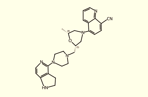 C[C@@H]1CN(c2ccc(C#N)c3ncccc23)C[C@H](CN2CCN(c3nccc4c3CCNC4)CC2)O1